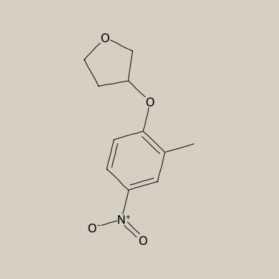 Cc1cc([N+](=O)[O-])ccc1OC1CCOC1